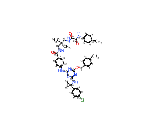 Cc1ccc(COc2nc(Nc3ccc(C(=O)NCC(C)(C)CNC(=O)C(=O)Nc4ccc(C)cc4)cc3)nc(NC3(c4ccc(Cl)cc4)CC3)n2)cc1